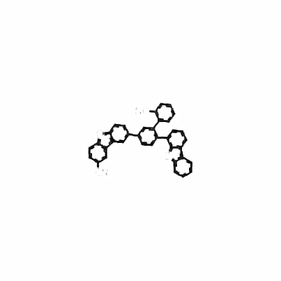 N#Cc1ccc2oc3ccc(-c4ccc(-c5cccc6c5oc5ccccc56)c(-c5ccccc5C#N)c4)cc3c2c1